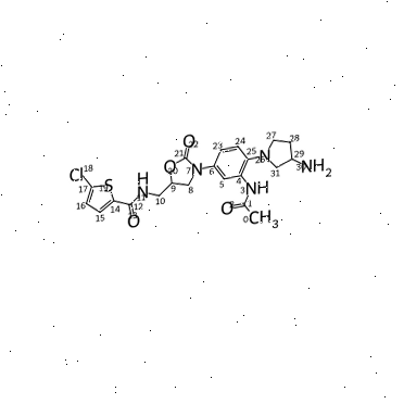 CC(=O)Nc1cc(N2CC(CNC(=O)c3ccc(Cl)s3)OC2=O)ccc1N1CCC(N)C1